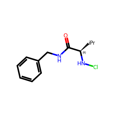 CC(C)[C@@H](NCl)C(=O)NCc1ccccc1